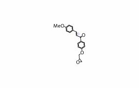 COc1ccc(/C=C/C(=O)c2ccc(OCC3CO3)cc2)cc1